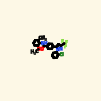 COc1cccc(C)c1NC(=O)c1ccc(-c2cc(C(F)(F)F)nn2-c2ccccc2Cl)cc1